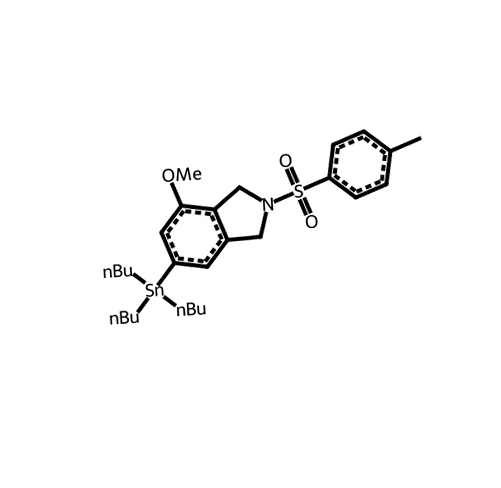 CCC[CH2][Sn]([CH2]CCC)([CH2]CCC)[c]1cc2c(c(OC)c1)CN(S(=O)(=O)c1ccc(C)cc1)C2